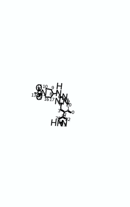 C=C/C(=C\c1nc(NC2CCN(S(C)(=O)=O)CC2)nn1C)c1cn[nH]c1